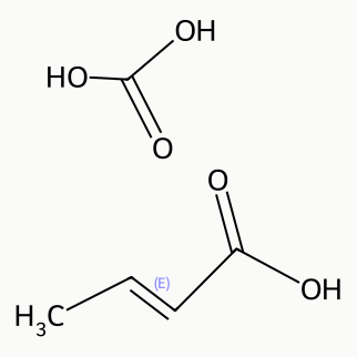 C/C=C/C(=O)O.O=C(O)O